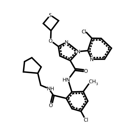 Cc1cc(Cl)cc(C(=O)NCC2CCCC2)c1NC(=O)c1cc(OC2CSC2)nn1-c1ncccc1Cl